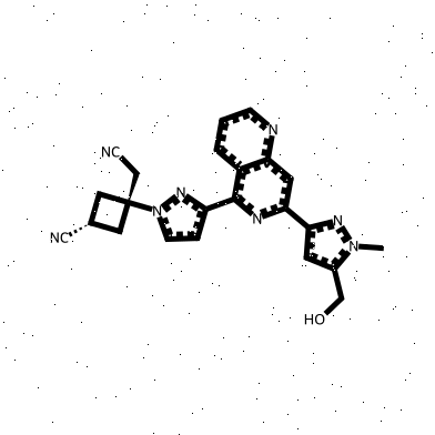 Cn1nc(-c2cc3ncccc3c(-c3ccn([C@]4(CC#N)C[C@H](C#N)C4)n3)n2)cc1CO